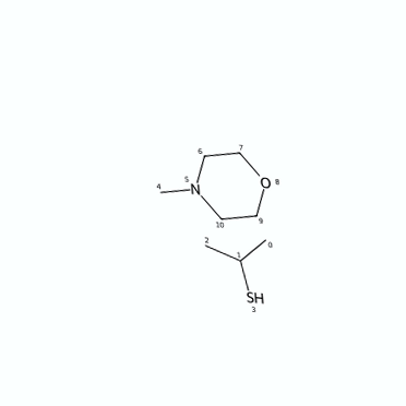 CC(C)S.CN1CCOCC1